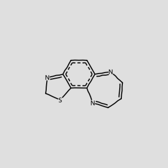 C1=CN=c2ccc3c(c2N=C1)SCN=3